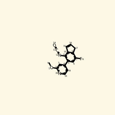 COc1cc(-c2cc(F)c3c(c2N=C=O)C=CC3)ccn1